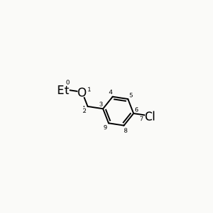 CCO[CH]c1ccc(Cl)cc1